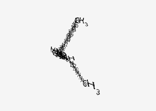 CCCCCCCCCCCCCCCCCCNn1ccc(=O)n(NCCCCCCCCCCCCCCCCCC)c1=O